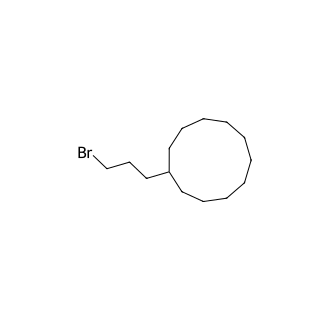 BrCCCC1CCCCCCCCCC1